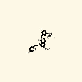 CCc1ccc(CCOc2cc(OC)cc3c2C(=O)N(Cc2cc(NC(=O)C(F)(F)F)cc(C(F)(F)F)c2)CC3)nc1